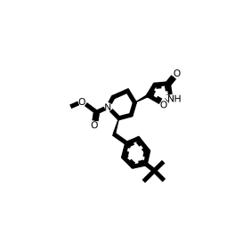 COC(=O)N1CC[C@@H](c2cc(=O)[nH]o2)C[C@H]1Cc1ccc(C(C)(C)C)cc1